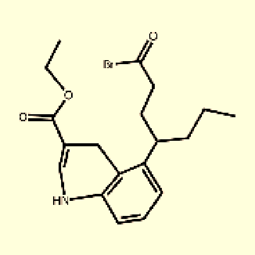 CCCC(CCC(=O)Br)c1cccc2c1CC(C(=O)OCC)=CN2